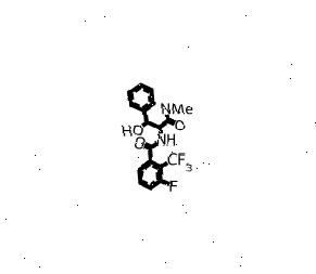 CNC(=O)C(NC(=O)c1cccc(F)c1C(F)(F)F)C(O)c1ccccc1